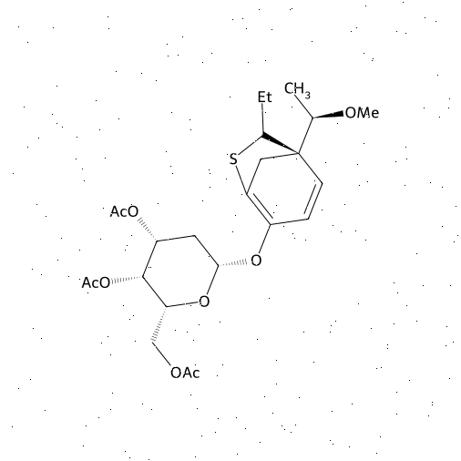 CCC1SC2=C(O[C@H]3C[C@@H](OC(C)=O)[C@@H](OC(C)=O)[C@@H](COC(C)=O)O3)C=C[C@@]1([C@@H](C)OC)C2